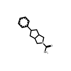 NC(=O)N1CC2CC(c3ccccc3)CC2C1